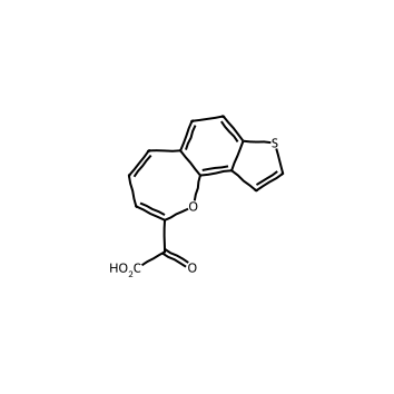 O=C(O)C(=O)C1=CC=Cc2ccc3sccc3c2O1